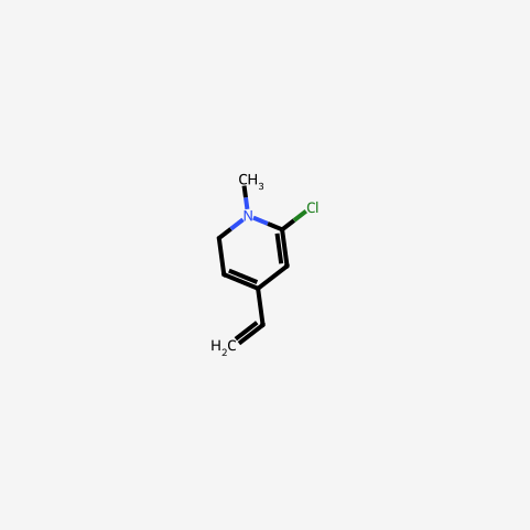 C=CC1=CCN(C)C(Cl)=C1